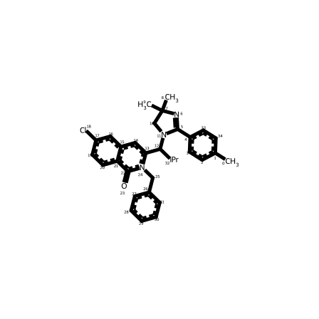 Cc1ccc(C2=NC(C)(C)CN2C(c2cc3cc(Cl)ccc3c(=O)n2Cc2ccccc2)C(C)C)cc1